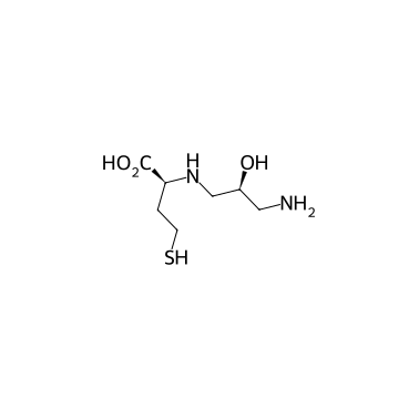 NC[C@H](O)CN[C@@H](CCS)C(=O)O